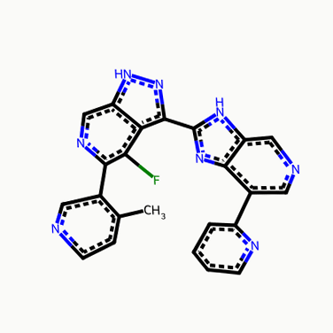 Cc1ccncc1-c1ncc2[nH]nc(-c3nc4c(-c5ccccn5)cncc4[nH]3)c2c1F